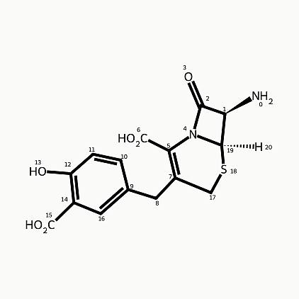 N[C@@H]1C(=O)N2C(C(=O)O)=C(Cc3ccc(O)c(C(=O)O)c3)CS[C@H]12